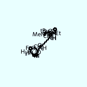 CC[C@@H](NC(=O)[C@@H]1C[C@H](NCCCCCCCCC(=O)NCCN2C[C@H](C)Oc3ccc(F)cc3[C@@H](C)Nc3ccn4ncc(c4n3)C2=O)CN1C(=O)[C@@H](NC(=O)[C@H](C)NC)C(C)(C)C)c1ccccc1